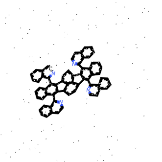 c1ccc2c(-c3c4c(c(-c5nccc6ccccc56)c5ccccc35)-c3ccc5c6c(ccc-4c36)-c3c-5c(-c4nccc5ccccc45)c4ccccc4c3-c3nccc4ccccc34)nccc2c1